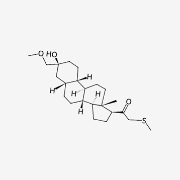 COC[C@]1(O)CC[C@H]2[C@H](CC[C@@H]3[C@@H]2CC[C@]2(C)[C@@H](C(=O)CSC)CC[C@@H]32)C1